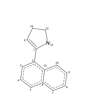 C1=C(c2cccc3ccccc23)[N]CC1